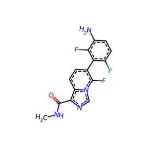 CNC(=O)c1ncn2c(F)c(-c3c(F)ccc(N)c3F)ccc12